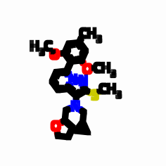 COc1cc(C)cc(OC)c1-c1cccc2c(N(CC3CC3)CC3CCCO3)c(SC)nn12